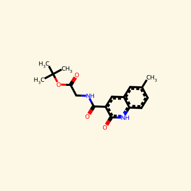 Cc1ccc2[nH]c(=O)c(C(=O)NCC(=O)OC(C)(C)C)cc2c1